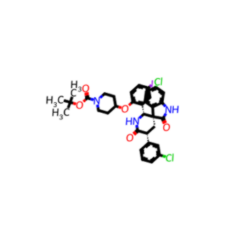 CC(C)(C)OC(=O)N1CCC(Oc2ccc(I)cc2[C@H]2NC(=O)[C@@H](c3cccc(Cl)c3)C[C@]23C(=O)Nc2cc(Cl)ccc23)CC1